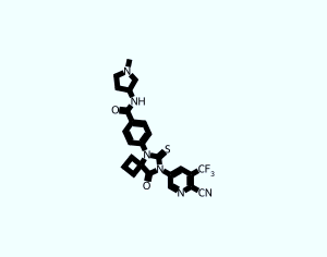 CN1CCC(NC(=O)c2ccc(N3C(=S)N(c4cnc(C#N)c(C(F)(F)F)c4)C(=O)C34CCC4)cc2)C1